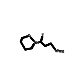 CCCCCCCC(F)[SiH]1CCCCO1